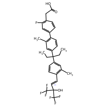 CCC(CC)(c1ccc(/C=C/C(O)(C(F)(F)F)C(F)(F)F)c(C)c1)c1ccc(-c2ccc(CC(=O)O)c(F)c2)c(C)c1